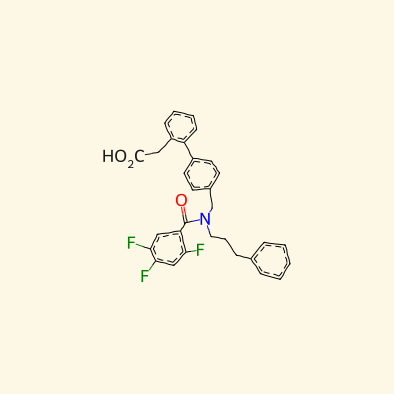 O=C(O)Cc1ccccc1-c1ccc(CN(CCCc2ccccc2)C(=O)c2cc(F)c(F)cc2F)cc1